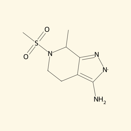 CC1C2=N[N]C(N)=C2CCN1S(C)(=O)=O